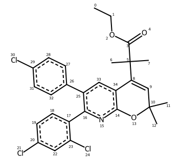 CCOC(=O)C(C)(C)C1=CC(C)(C)Oc2nc(-c3ccc(Cl)cc3Cl)c(-c3ccc(Cl)cc3)cc21